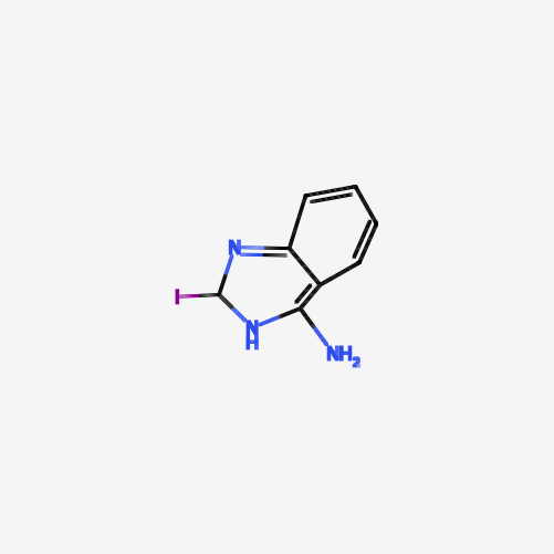 NC1=c2ccccc2=NC(I)N1